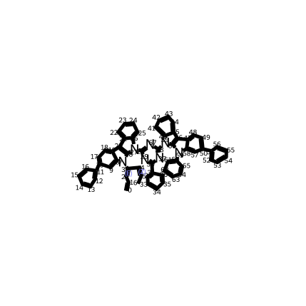 C=C/C=C(\C=C/C)n1c2cc(-c3ccccc3)ccc2c2c3ccccc3n(-c3nc(-c4ccccc4)nc(-n4c5ccccc5c5c6ccc(-c7ccccc7)cc6n(-c6ccccc6)c54)n3)c21